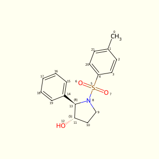 Cc1ccc(S(=O)(=O)N2CC[C@H](O)[C@H]2c2ccccc2)cc1